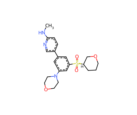 CNc1ccc(-c2cc(N3CCOCC3)cc(S(=O)(=O)[C@@H]3CCCOC3)c2)cn1